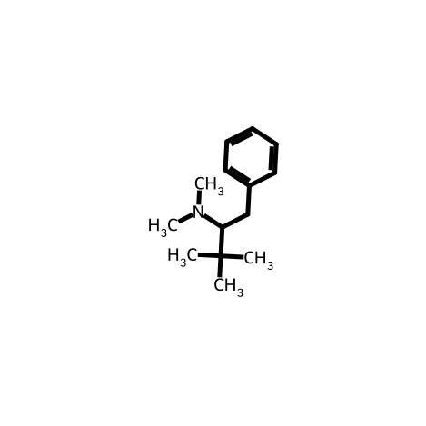 CN(C)C(Cc1ccccc1)C(C)(C)C